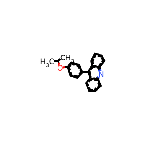 CC(C)Oc1ccc(-c2c3ccccc3nc3ccccc23)cc1